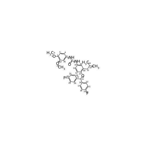 COc1ccc(NC(=O)Nc2ccc(OC(c3ccc(F)cc3)c3ccc(F)cc3)c(CC(C)C)c2)cc1OC